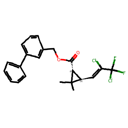 CC1(C)[C@H](C=C(Cl)C(F)(F)Cl)[C@H]1C(=O)OCc1cccc(-c2ccccc2)c1